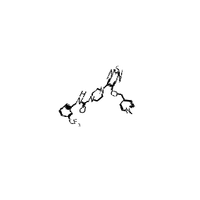 O=C(Nc1cccc(C(F)(F)F)c1)N1CCN(c2nsnc2OCc2ccncc2)CC1